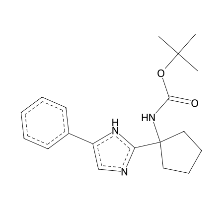 CC(C)(C)OC(=O)NC1(c2ncc(-c3ccccc3)[nH]2)CCCC1